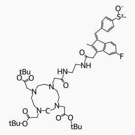 CC1=C(CC(=O)NCCNC(=O)CN2CCN(CC(=O)OC(C)(C)C)CCN(CC(=O)OC(C)(C)C)CCN(CC(=O)OC(C)(C)C)CC2)c2cc(F)ccc2/C1=C\c1ccc([S+](C)[O-])cc1